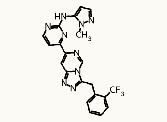 Cn1nccc1Nc1nccc(-c2cc3nnc(Cc4ccccc4C(F)(F)F)n3cn2)n1